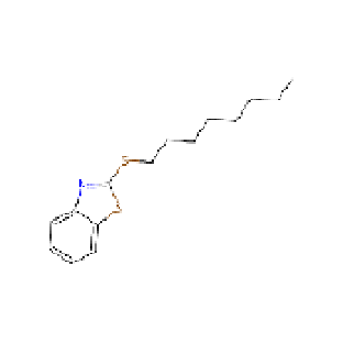 CCCCCCCCSc1nc2ccccc2s1